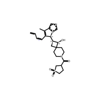 C=C/C=C\C1=C(C)c2cncn2[C@H]1[C@@H]1CC2(CCN(C(=O)C3CCS(=O)(=O)C3)CC2)[C@@H]1O